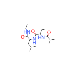 CCNC(=O)C(CC(C)C)NC(=O)C(CC)NC(=O)C(C)C